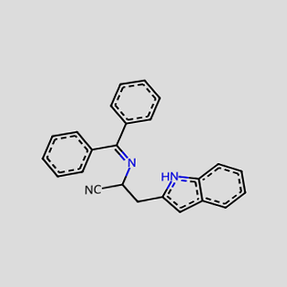 N#CC(Cc1cc2ccccc2[nH]1)N=C(c1ccccc1)c1ccccc1